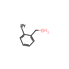 BCc1ccccc1C(C)C